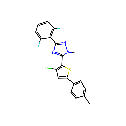 Cc1ccc(-c2cc(Cl)c(-c3nc(-c4c(F)cccc4F)nn3C)s2)cc1